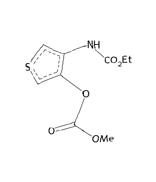 CCOC(=O)Nc1cscc1OC(=O)OC